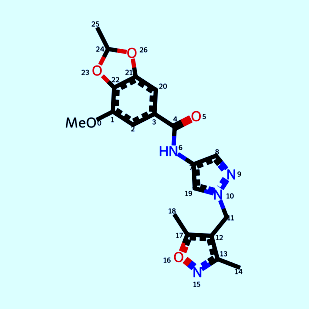 COc1cc(C(=O)Nc2cnn(Cc3c(C)noc3C)c2)cc2c1OC(C)O2